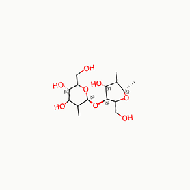 CC1C(O)[C@H](O)C(CO)O[C@H]1O[C@@H]1C(CO)O[C@@H](C)C(C)[C@H]1O